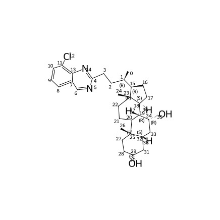 C[C@H](CCc1ncc2cccc(Cl)c2n1)[C@H]1CC[C@H]2[C@H]3C(CC[C@]12C)[C@@]1(C)CC[C@@H](O)C[C@H]1C[C@H]3O